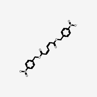 O=C(/C=C\C=C/C(=O)OCc1ccc([N+](=O)[O-])cc1)OCc1ccc([N+](=O)[O-])cc1